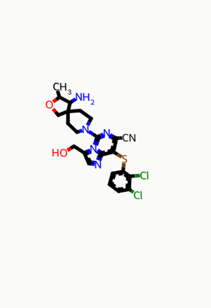 CC1OCC2(CCN(c3nc(C#N)c(Sc4cccc(Cl)c4Cl)c4ncc(CO)n34)CC2)C1N